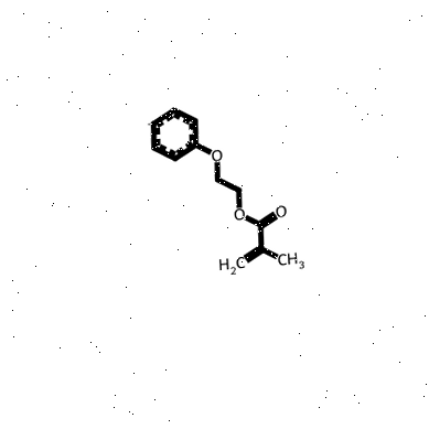 C=C(C)C(=O)OCCOc1cc[c]cc1